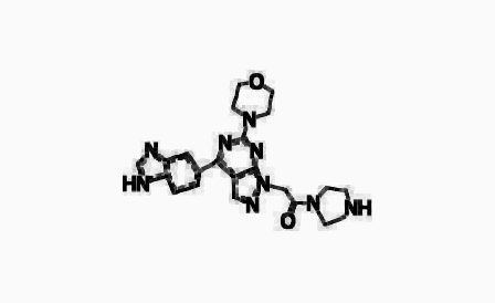 O=C(Cn1ncc2c(-c3ccc4[nH]cnc4c3)nc(N3CCOCC3)nc21)N1CCNCC1